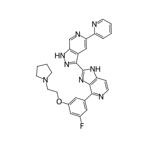 Fc1cc(OCCN2CCCC2)cc(-c2nccc3[nH]c(-c4n[nH]c5cnc(-c6ccccn6)cc45)nc23)c1